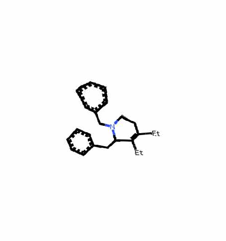 CCC1=C(CC)C(Cc2ccccc2)N(Cc2ccccc2)CC1